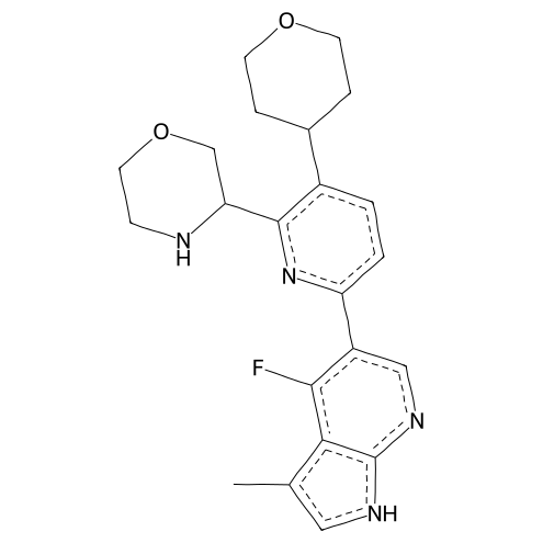 Cc1c[nH]c2ncc(-c3ccc(C4CCOCC4)c(C4COCCN4)n3)c(F)c12